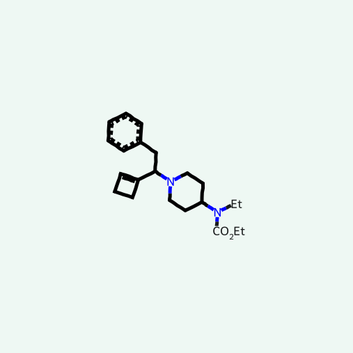 CCOC(=O)N(CC)C1CCN(C(Cc2ccccc2)C2=CCC2)CC1